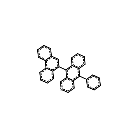 c1ccc(-c2c3ccccc3c(-c3cc4ccccc4c4ccccc34)c3cnccc23)cc1